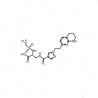 CCS(=O)(=O)N[C@@H](CNC(=O)c1cnn(CCc2ccc3c(n2)NCCC3)c1)C(=O)O